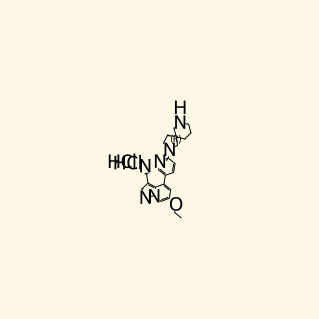 CCOc1cc(-c2ccc(N3CC[C@@]4(CCCNC4)C3)nc2)c2c(C#N)cnn2c1.Cl.Cl